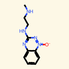 CNCCNc1nc2ccccc2[n+]([O-])n1